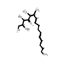 CCCCCCCCCCCC(C)C(C)C(=O)C(O)C(O)CO